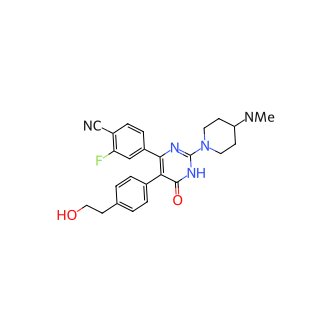 CNC1CCN(c2nc(-c3ccc(C#N)c(F)c3)c(-c3ccc(CCO)cc3)c(=O)[nH]2)CC1